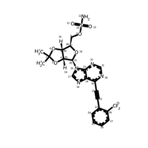 CC1(C)O[C@@H]2[C@H](O1)[C@@H](COS(N)(=O)=O)O[C@H]2n1cnc2c(C#Cc3ccccc3C(F)(F)F)ncnc21